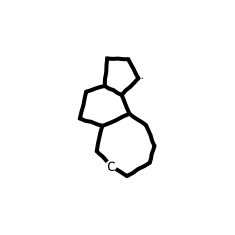 [CH]1CCC2CCC3CCCCCCC3C12